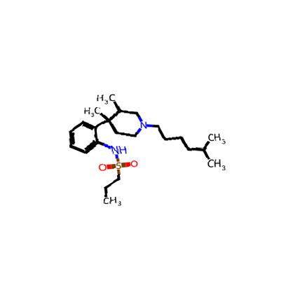 CCCS(=O)(=O)Nc1ccccc1C1(C)CCN(CCCCC(C)C)CC1C